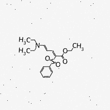 CCOC(=O)/C(=C/C=C/N(CC)CC)S(=O)(=O)c1ccccc1